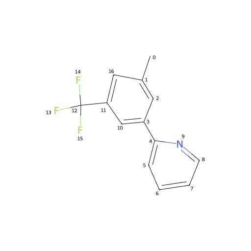 Cc1cc(-c2ccccn2)cc(C(F)(F)F)c1